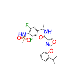 CC(C)c1ccccc1Oc1nc(C(=O)NC(C)c2cc(F)c(NS(C)(=O)=O)c(F)c2)co1